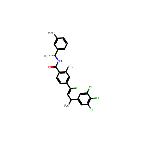 COc1cccc([C@@H](C)NC(=O)c2ccc(/C(F)=C/C(c3cc(Cl)c(Cl)c(Cl)c3)C(F)(F)F)cc2C(F)(F)F)c1